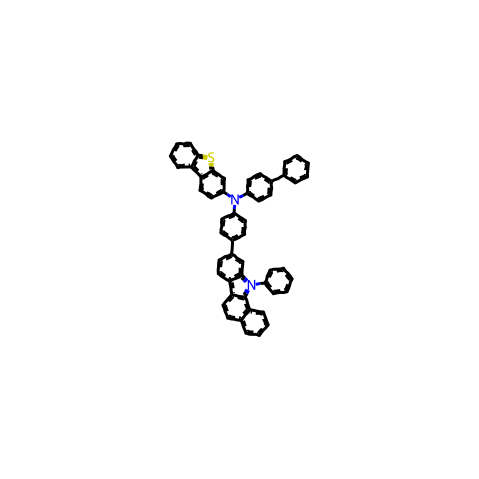 c1ccc(-c2ccc(N(c3ccc(-c4ccc5c6ccc7ccccc7c6n(-c6ccccc6)c5c4)cc3)c3ccc4c(c3)sc3ccccc34)cc2)cc1